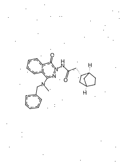 CN(Cc1ccccc1)c1nn(NC(=O)C[C@H]2C[C@@H]3CC[C@H]2C3)c(=O)c2ccccc12